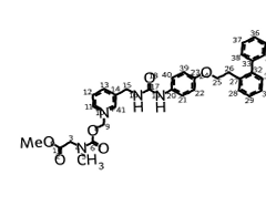 COC(=O)CN(C)C(=O)OC[n+]1cccc(CNC(=O)Nc2ccc(OCCc3ccccc3-c3ccccc3)cc2)c1